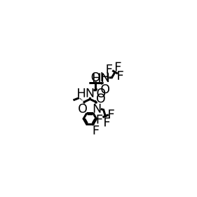 CC[C@H]1Oc2ccc(F)cc2N(CC(F)(F)F)C(=O)C1NC(=O)C(C)(O)C(=O)NCC(F)(F)F